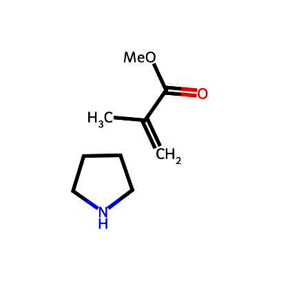 C1CCNC1.C=C(C)C(=O)OC